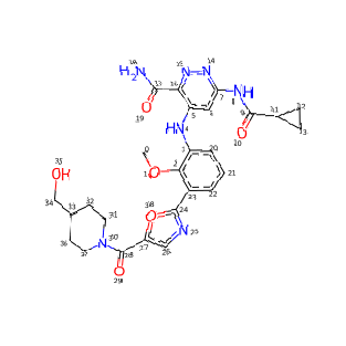 COc1c(Nc2cc(NC(=O)C3CC3)nnc2C(N)=O)cccc1-c1ncc(C(=O)N2CCC(CO)CC2)o1